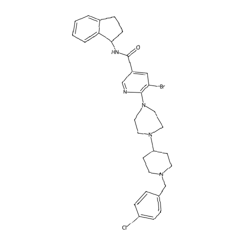 O=C(NC1CCc2ccccc21)c1cnc(N2CCN(C3CCN(Cc4ccc(Cl)cc4)CC3)CC2)c(Br)c1